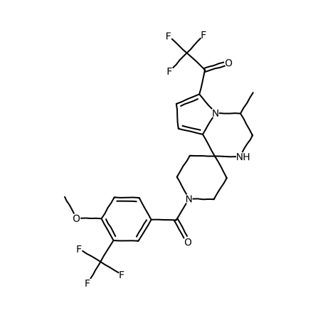 COc1ccc(C(=O)N2CCC3(CC2)NCC(C)n2c(C(=O)C(F)(F)F)ccc23)cc1C(F)(F)F